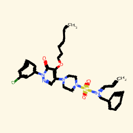 C=CCCCCOc1c(N2CCN(S(=O)(=O)N(CC=C)Cc3ccccc3)CC2)cnn(-c2cccc(Cl)c2)c1=O